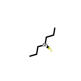 CC[CH2][Sn](=[S])[CH2]CC